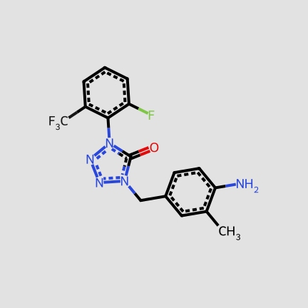 Cc1cc(Cn2nnn(-c3c(F)cccc3C(F)(F)F)c2=O)ccc1N